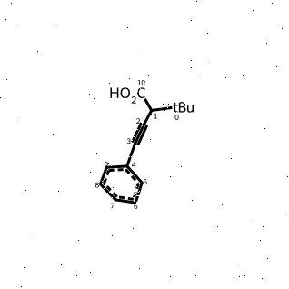 CC(C)(C)C(C#Cc1ccccc1)C(=O)O